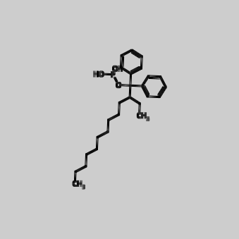 CCCCCCCCCCC(CC)C(OP(O)O)(c1ccccc1)c1ccccc1